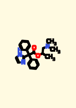 CC(CN(C)C)OC(=O)C(c1ccccc1)(c1ccccc1)c1ncc[nH]1